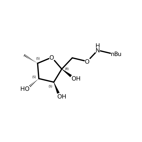 CCCCNOC[C@@]1(O)O[C@@H](C)[C@@H](O)[C@@H]1O